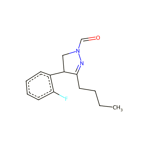 CCCCC1=NN(C=O)CC1c1ccccc1F